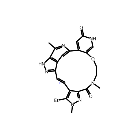 CCc1c2c(nn1C)C(=O)N(C)CCOc1c[nH]c(=O)cc1-c1cc3c(n[nH]c3c(C)n1)/C=C/2